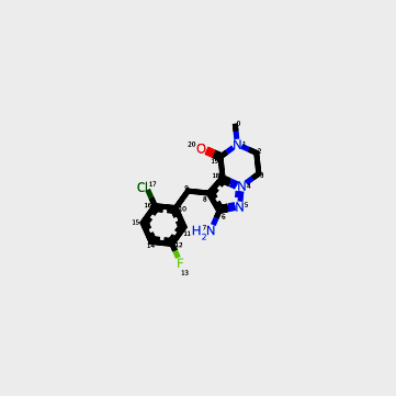 CN1CCn2nc(N)c(Cc3cc(F)ccc3Cl)c2C1=O